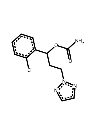 NC(=O)OC(CCn1nccn1)c1ccccc1Cl